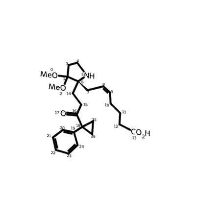 COC1(OC)CCN[C@]1(C/C=C\CCCC(=O)O)CCC(=O)C1(c2ccccc2)CC1